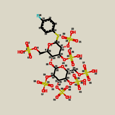 O=S(=O)(O)OC[C@H]1O[C@@H](Sc2ccc(F)cc2)[C@H](OS(=O)(=O)O)[C@@H](OS(=O)(=O)O)[C@@H]1O[C@H]1O[C@H](COS(=O)(=O)O)[C@@H](OS(=O)(=O)O)[C@H](OS(=O)(=O)O)[C@H]1OS(=O)(=O)O